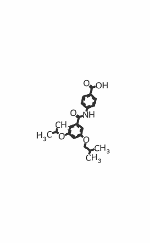 CC(C)COc1cc(OC(C)C)cc(C(=O)Nc2ccc(C(=O)O)cc2)c1